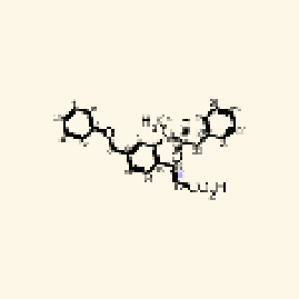 CN(c1cc(COc2ccccc2)ccc1/C=C/C(=O)O)S(=O)(=O)Cc1ccccc1